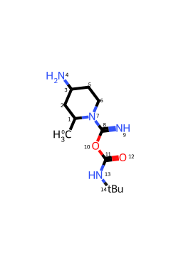 CC1CC(N)CCN1C(=N)OC(=O)NC(C)(C)C